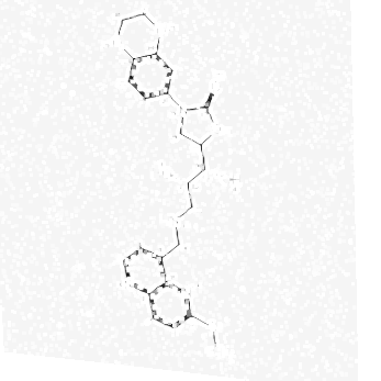 COc1ccc2nccc(CNC[C@H](O)[C@@H](O)C3CN(c4ccc5c(c4)OCCO5)C(=O)O3)c2n1